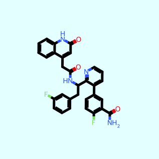 NC(=O)c1cc(-c2cccnc2C(Cc2cccc(F)c2)NC(=O)Cc2cc(=O)[nH]c3ccccc23)ccc1F